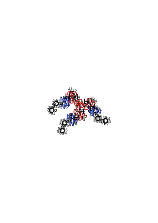 CC1(C)O[C@@H]2[C@H](O1)[C@@H](COP(=O)(OC[C@H]1O[C@@H](n3cnc4c(-c5cccc(-c6ccccc6)c5)ncnc43)[C@@H]3OC(C)(C)O[C@@H]31)OC[C@H]1O[C@@H](n3cnc4c(-c5cccc(-c6ccccc6)c5)ncnc43)[C@@H]3OC(C)(C)O[C@@H]31)O[C@H]2n1cnc2c(-c3cccc(-c4ccccc4)c3)ncnc21